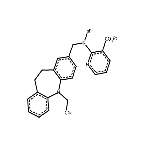 CCCN(Cc1ccc2c(c1)CCc1ccccc1N2CC#N)c1ncccc1C(=O)OCC